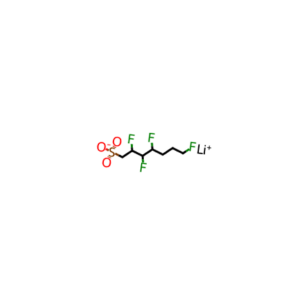 O=S(=O)([O-])CC(F)C(F)C(F)CCCF.[Li+]